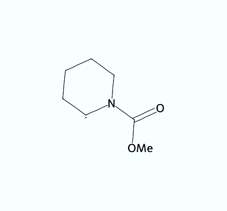 COC(=O)N1[CH]CCCC1